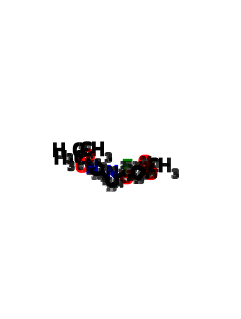 CC(C)(C)OC(=O)N1CCC(c2cccc(COc3ccc(S(C)(=O)=O)cc3F)n2)CC1